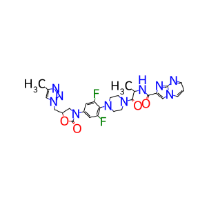 Cc1cn(CC2CN(c3cc(F)c(N4CCN(C(=O)C(C)NC(=O)c5cn6cccnc6n5)CC4)c(F)c3)C(=O)O2)nn1